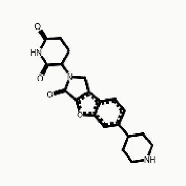 O=C1CCC(N2Cc3c(oc4cc(C5CCNCC5)ccc34)C2=O)C(=O)N1